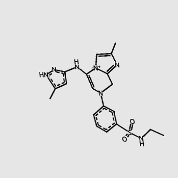 CCNS(=O)(=O)c1cccc(N2C=C(Nc3cc(C)[nH]n3)[N+]3C=C(C)N=C3C2)c1